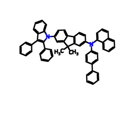 CC1(C)c2cc(N(c3ccc(-c4ccccc4)cc3)c3cccc4ccccc34)ccc2-c2ccc(-n3c(-c4ccccc4)c(-c4ccccc4)c4ccccc43)cc21